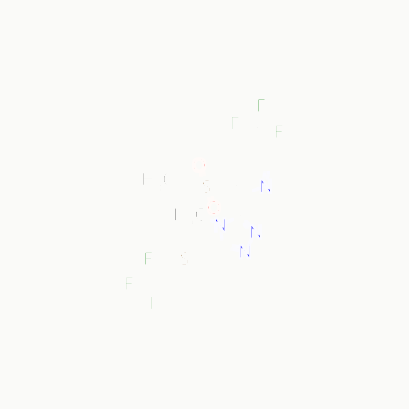 CCS(=O)(=O)c1cc(C(F)(F)F)cnc1-c1nnc(-c2ccc(C(F)(F)F)s2)n1C